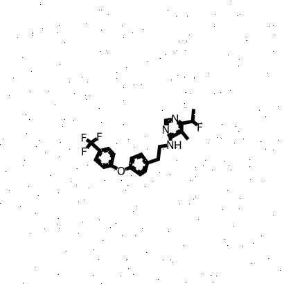 Cc1c(NCCc2ccc(Oc3ccc(C(F)(F)F)cc3)cc2)ncnc1C(C)F